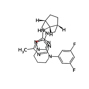 Cc1cc(N2C[C@H]3CC[C@@H](C2)[C@H]3Nc2nc3n(n2)CCCN3c2cc(F)cc(F)c2)ncn1